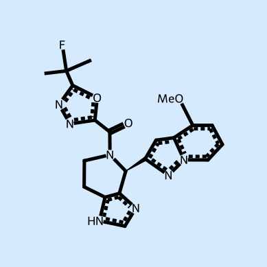 COc1cccn2nc([C@H]3c4nc[nH]c4CCN3C(=O)c3nnc(C(C)(C)F)o3)cc12